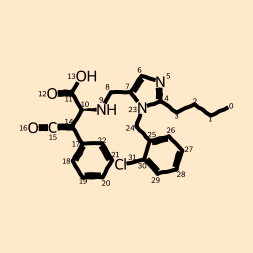 CCCCc1ncc(CN[C@H](C(=O)O)C(=C=O)c2ccccc2)n1Cc1ccccc1Cl